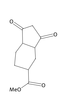 COC(=O)C1CCC2C(=O)CC(=O)C2C1